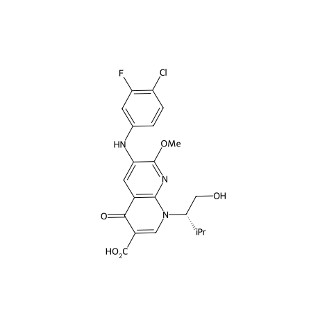 COc1nc2c(cc1Nc1ccc(Cl)c(F)c1)c(=O)c(C(=O)O)cn2[C@H](CO)C(C)C